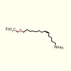 CCOC(=O)COCCCCCCC/C=C\CCCCNC(C)=O